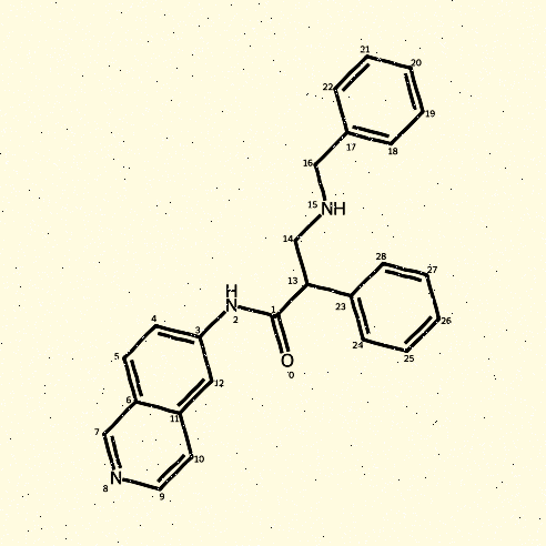 O=C(Nc1ccc2cnccc2c1)C(CNCc1ccccc1)c1ccccc1